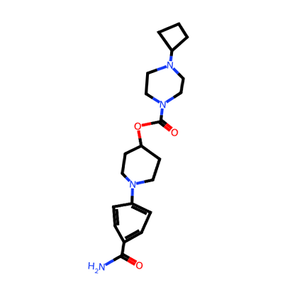 NC(=O)c1ccc(N2CCC(OC(=O)N3CCN(C4CCC4)CC3)CC2)cc1